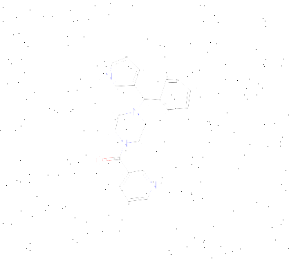 O=C(c1cccnc1)N1CCN(C(c2ccccc2)c2cccnc2)CC1